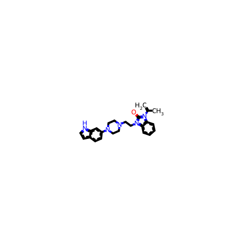 C=C(C)n1c(=O)n(CCN2CCN(c3ccc4cc[nH]c4c3)CC2)c2ccccc21